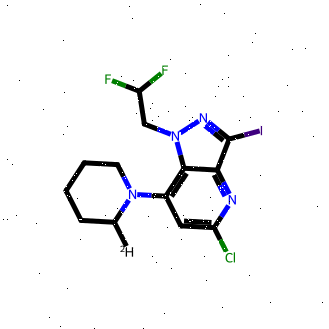 [2H]C1CCCCN1c1cc(Cl)nc2c(I)nn(CC(F)F)c12